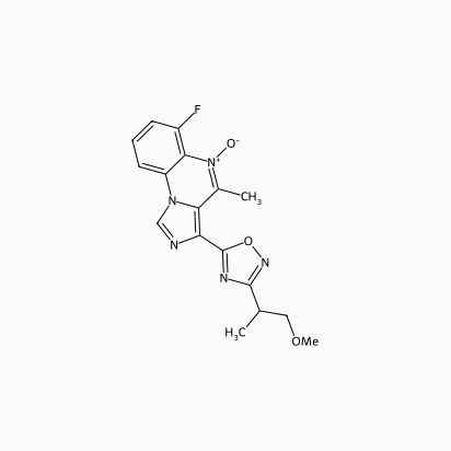 COCC(C)c1noc(-c2ncn3c2c(C)[n+]([O-])c2c(F)cccc23)n1